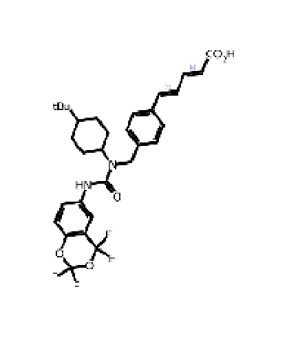 CC(C)(C)C1CCC(N(Cc2ccc(/C=C/C=C/C(=O)O)cc2)C(=O)Nc2ccc3c(c2)C(F)(F)OC(F)(F)O3)CC1